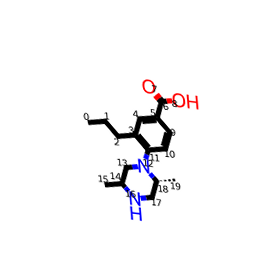 CCCc1cc(C(=O)O)ccc1N1CC(C)NC[C@H]1C